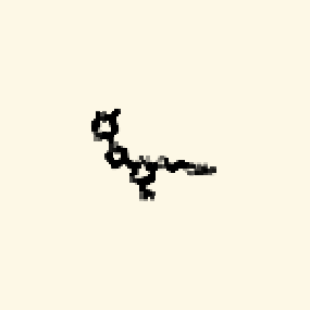 COCCOc1cc(C(C)C)nc(C2CCN(c3cc(C)ncn3)C2)n1